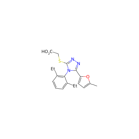 CCc1cccc(CC)c1-n1c(SCC(=O)O)nnc1-c1ccc(C)o1